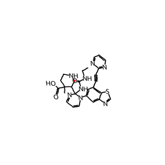 CCNC(=O)NC1(C2CNCCC2(C)C(=O)O)N=CC=CN1c1cc(C#Cc2ncccn2)c2scnc2c1